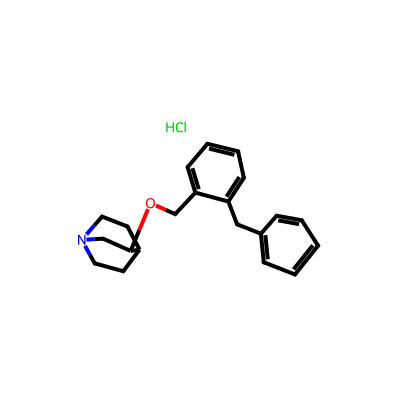 Cl.c1ccc(Cc2ccccc2COC2CN3CCC2CC3)cc1